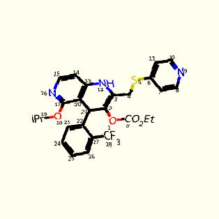 CCOC(=O)OC1=C(CSc2ccncc2)Nc2ccnc(OC(C)C)c2C1c1ccccc1C(F)(F)F